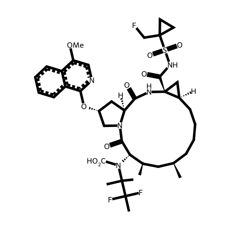 COc1cnc(O[C@@H]2C[C@H]3C(=O)N[C@]4(C(=O)NS(=O)(=O)C5(CF)CC5)C[C@H]4CCCC[C@@H](C)C[C@@H](C)[C@H](N(C(=O)O)C(C)(C)C(C)(F)F)C(=O)N3C2)c2ccccc12